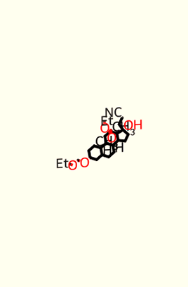 CCOCOC1CC[C@@]2(C)C(CC[C@@H]3[C@H]2CC[C@]2(C)C(O)(CCC#N)CC[C@@]32OCOCC)C1